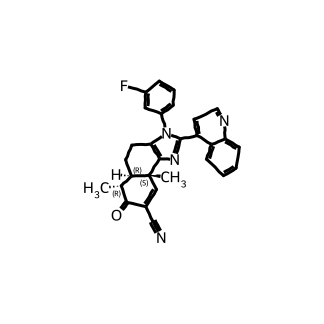 C[C@H]1C(=O)C(C#N)=C[C@@]2(C)c3nc(-c4ccnc5ccccc45)n(-c4cccc(F)c4)c3CC[C@H]12